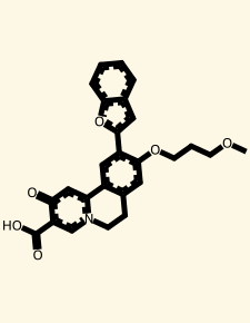 COCCCOc1cc2c(cc1-c1cc3ccccc3o1)-c1cc(=O)c(C(=O)O)cn1CC2